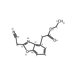 CCOC(=O)Cc1cccc2oc(CC#N)nc12